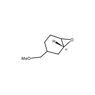 COCC1CCC2O[C@@H]2C1